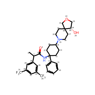 CC(C(=O)NC1(c2ccccc2)CCC(N2CCC3(CC2)COC[C@@H]3O)CC1)c1cc(C(F)(F)F)cc(C(F)(F)F)c1